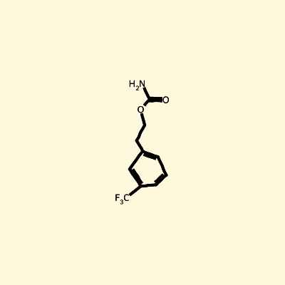 NC(=O)OCCc1cccc(C(F)(F)F)c1